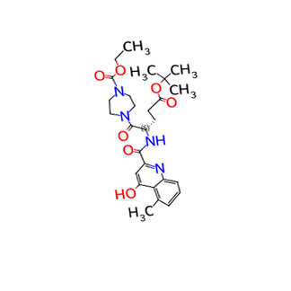 CCOC(=O)N1CCN(C(=O)[C@H](CCC(=O)OC(C)(C)C)NC(=O)c2cc(O)c3c(C)cccc3n2)CC1